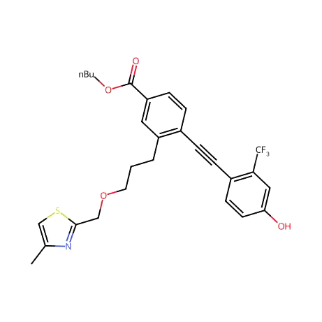 CCCCOC(=O)c1ccc(C#Cc2ccc(O)cc2C(F)(F)F)c(CCCOCc2nc(C)cs2)c1